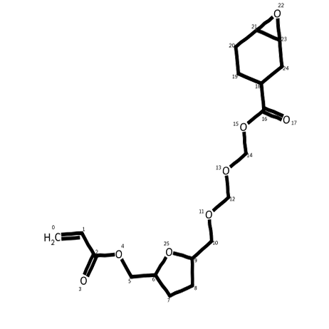 C=CC(=O)OCC1CCC(COCOCOC(=O)C2CCC3OC3C2)O1